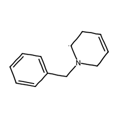 [CH]1CC=CCN1Cc1ccccc1